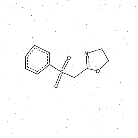 O=S(=O)(CC1=NCCO1)c1ccccc1